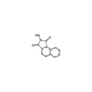 [NH]N1C(=O)c2ccc3ccccc3c2C1=O